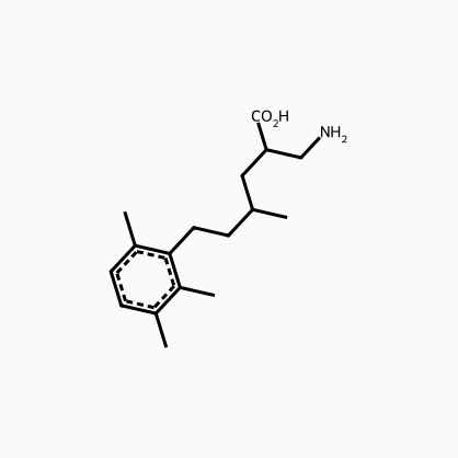 Cc1ccc(C)c(CCC(C)CC(CN)C(=O)O)c1C